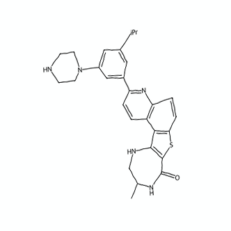 CC1CNc2c(sc3ccc4nc(-c5cc(C(C)C)cc(N6CCNCC6)c5)ccc4c23)C(=O)N1